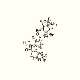 CN(C(=O)c1ccc2c(c1)OC(F)(F)O2)c1cccc(C(=O)Nc2c(Br)cc(C(F)(C(F)(F)F)C(F)(F)F)cc2Br)c1F